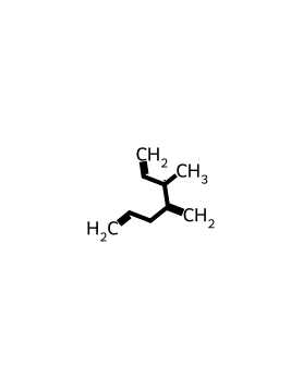 C=CCC(=C)[C](C)C=C